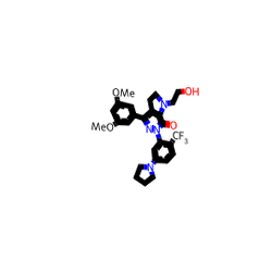 COc1cc(OC)cc(-c2nn(-c3cc(N4CCCC4)ccc3C(F)(F)F)c(=O)c3c2CCN3CCO)c1